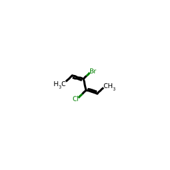 C/C=C(Cl)\C(Br)=C/C